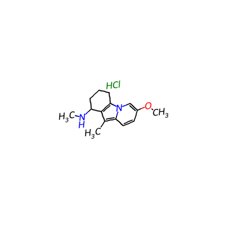 CNC1CCCc2c1c(C)c1ccc(OC)cn21.Cl